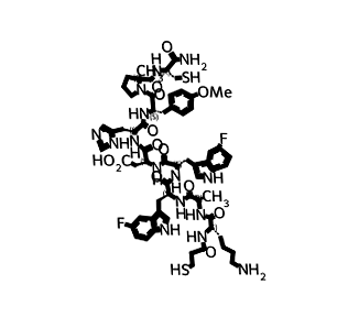 COc1ccc(C[C@H](NC(=O)[C@H](Cc2cnc[nH]2)NC(=O)[C@H](CC(=O)O)NC(=O)[C@H](Cc2c[nH]c3ccc(F)cc23)NC(=O)[C@H](Cc2c[nH]c3ccc(F)cc23)NC(=O)[C@@H](C)NC(=O)[C@H](CCCCN)NC(=O)CCS)C(=O)N2CCC[C@@]2(C)C(=O)N[C@@H](CS)C(N)=O)cc1